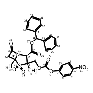 C[C@]1(COC(=O)Oc2ccc([N+](=O)[O-])cc2)[C@H](C(=O)OC(c2ccccc2)c2ccccc2)N2C(=O)C[C@H]2S1(=O)=O